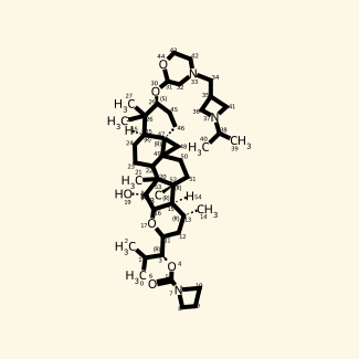 CC(C)[C@@H](OC(=O)N1CCC1)C1C[C@@H](C)[C@H]2C(O1)[C@H](O)C1(C)C3CC[C@H]4C(C)(C)[C@@H](OC5CN(CC6CN(C(C)C)C6)CCO5)CC[C@@]45CC35CC[C@]21C